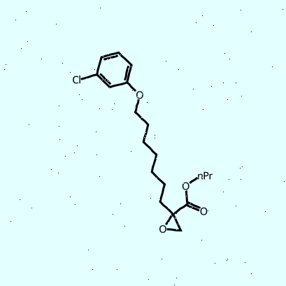 CCCOC(=O)C1(CCCCCCCOc2cccc(Cl)c2)CO1